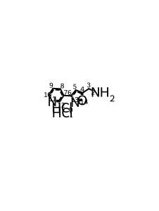 Cl.Cl.NCc1cc(-c2cccnc2)no1